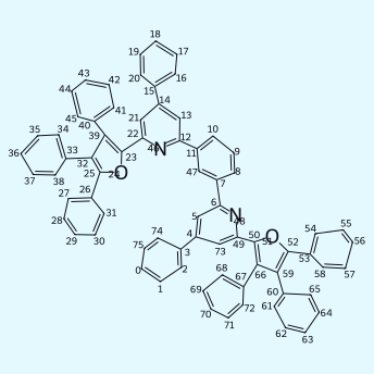 c1ccc(-c2cc(-c3cccc(-c4cc(-c5ccccc5)cc(-c5oc(-c6ccccc6)c(-c6ccccc6)c5-c5ccccc5)n4)c3)nc(-c3oc(-c4ccccc4)c(-c4ccccc4)c3-c3ccccc3)c2)cc1